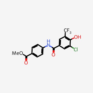 COC(=O)c1ccc(NC(=O)c2cc(Cl)c(O)c(C(F)(F)F)c2)cc1